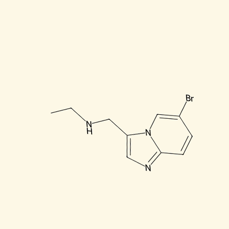 CCNCc1cnc2ccc(Br)cn12